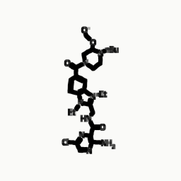 CCCCN1CCN(C(=O)c2ccc3c(c2)[n+](CC)c(CNC(=O)c2nc(Cl)cnc2N)n3CC)CC1OC[O-]